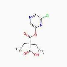 CCC(CC)(C(=O)O)C(=O)Oc1cncc(Cl)n1